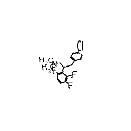 CN(C)CC(Cc1ccc(Cl)cc1)c1c(F)ccc(F)c1F